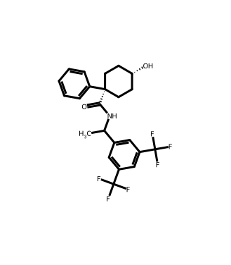 CC(NC(=O)[C@]1(c2ccccc2)CC[C@H](O)CC1)c1cc(C(F)(F)F)cc(C(F)(F)F)c1